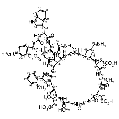 CCCCCc1ccc(/C(C)=C/C(=O)NC(Cc2c[nH]c3ccccc23)C(=O)N[C@H](CC(N)=O)C(=O)N[C@@H](CC(=O)O)C(=O)N[C@@H]2C(=O)NCC(=O)N[C@@H](CCCN)C(=O)N[C@@H](CC(=O)O)C(=O)N[C@H](C)C(=O)N[C@@H](CC(=O)O)C(=O)NCC(=O)N[C@H](CO)C(=O)N[C@@H]([C@H](C)CC(=O)O)C(=O)N[C@@H](CC(=O)c3ccccc3N)C(=O)O[C@@H]2C)cc1